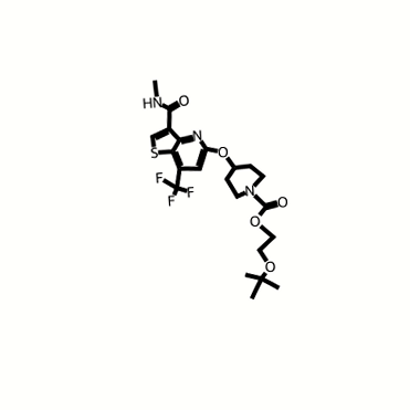 CNC(=O)c1csc2c(C(F)(F)F)cc(OC3CCN(C(=O)OCCOC(C)(C)C)CC3)nc12